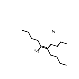 CCCC[C]([Sn])=C(CCCC)CCCC.[H-]